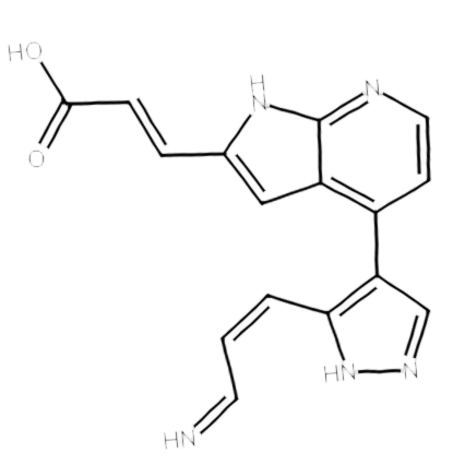 N=C/C=C\c1[nH]ncc1-c1ccnc2[nH]c(/C=C/C(=O)O)cc12